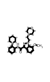 COc1cccc2c(C(=O)Nc3ccccc3N3CCCCC3)nn(CCN3CCOCC3)c12